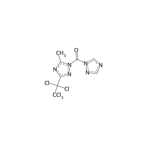 Cc1nc(C(Cl)(Cl)C(Cl)(Cl)Cl)nn1C(=O)n1cncn1